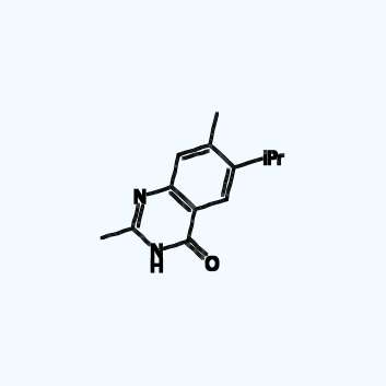 Cc1nc2cc(C)c(C(C)C)cc2c(=O)[nH]1